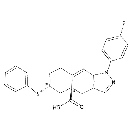 O=C(O)[C@]12Cc3cnn(-c4ccc(F)cc4)c3C=C1CC[C@@H](Sc1ccccc1)C2